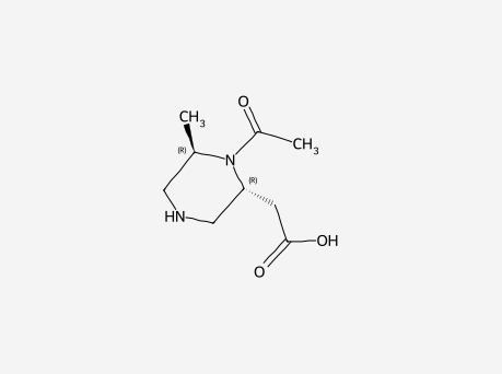 CC(=O)N1[C@H](CC(=O)O)CNC[C@H]1C